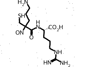 N=C(N)NCCC[C@H](NC(=O)C(CS)(CCCN)N=O)C(=O)O